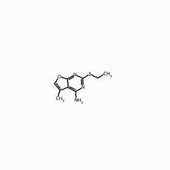 CCSc1nc(N)c2c(C)coc2n1